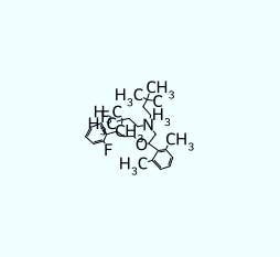 Cc1cccc(C)c1C(CN(CCC(C)(C)C)CCC(C)(C)C)OCCCc1c(F)cccc1F